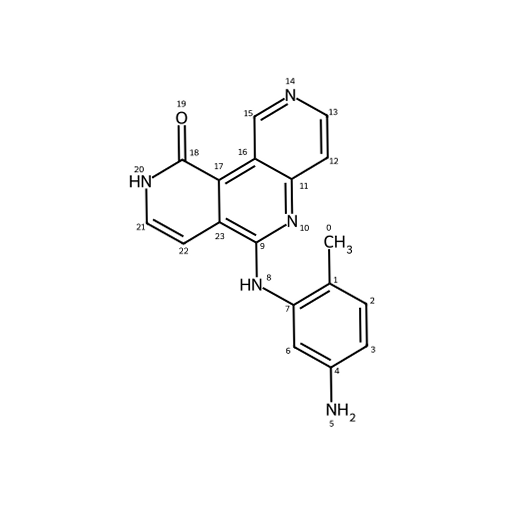 Cc1ccc(N)cc1Nc1nc2ccncc2c2c(=O)[nH]ccc12